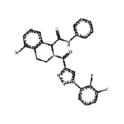 O=C(Nc1ccccc1)C1c2cccc(Br)c2CCN1C(=O)c1cn(-c2cccc(Cl)c2F)nn1